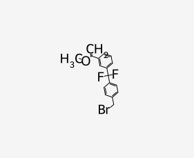 C=C(OC)c1cccc(C(F)(F)c2ccc(CBr)cc2)c1